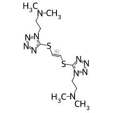 CN(C)CCn1nnnc1S/C=C/Sc1nnnn1CCN(C)C